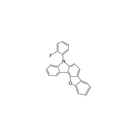 Fc1ccccc1-n1c2ccccc2c2c3oc4ccccc4c3ccc21